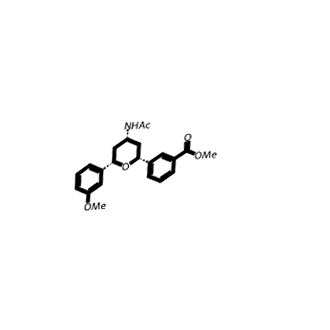 COC(=O)c1cccc([C@H]2C[C@@H](NC(C)=O)C[C@@H](c3cccc(OC)c3)O2)c1